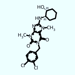 Cn1c(N[C@@H]2CCCC[C@H]2O)nc2c1c(=O)n(Cc1ccc(Cl)c(Cl)c1)c(=O)n2C